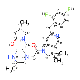 CC1CC(=O)N(C[C@H]2CNC(C)CN2CC(=O)N2CC(C)(C)c3cnc(Cc4ccc(F)cc4F)cc32)C1